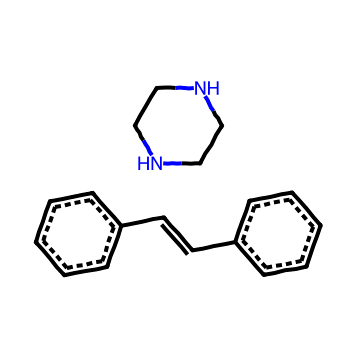 C(=Cc1ccccc1)c1ccccc1.C1CNCCN1